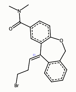 CN(C)C(=O)c1ccc2c(c1)/C(=C/CCBr)c1ccccc1CO2